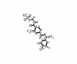 CCS(=O)(=O)C[C@@H](C)NC(=O)c1ccc(/C(F)=C/C(c2cc(C)c(Cl)c(C)c2)C(F)(F)F)cc1C(F)(F)F